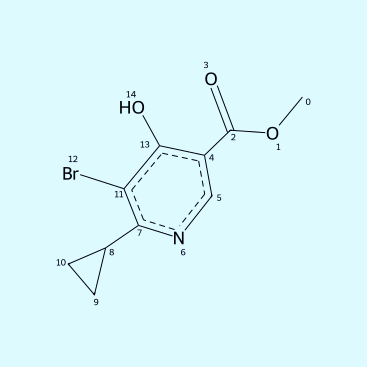 COC(=O)c1cnc(C2CC2)c(Br)c1O